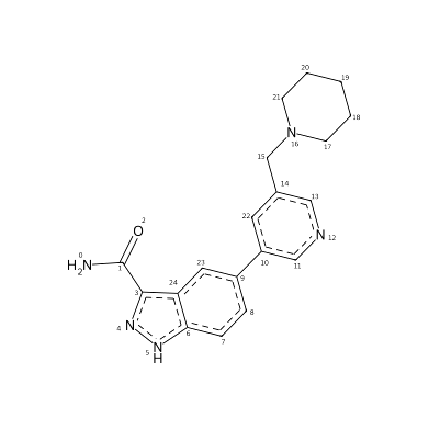 NC(=O)c1n[nH]c2ccc(-c3cncc(CN4CCCCC4)c3)cc12